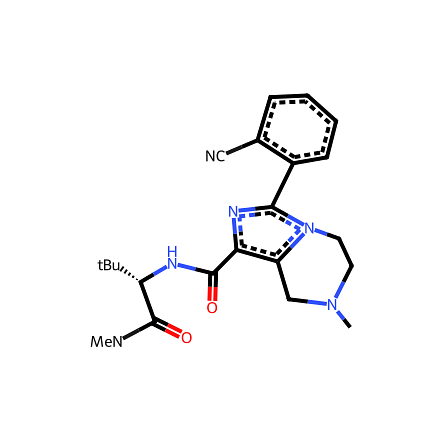 CNC(=O)[C@@H](NC(=O)c1nc(-c2ccccc2C#N)n2c1CN(C)CC2)C(C)(C)C